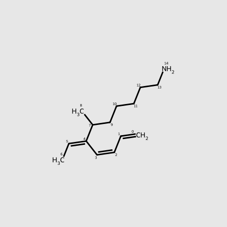 C=C/C=C\C(=C/C)C(C)CCCCCN